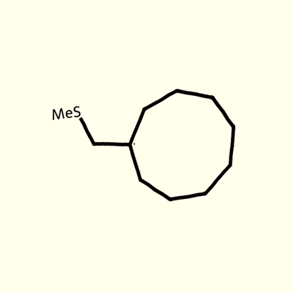 CSC[C]1CCCCCCCC1